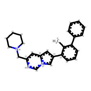 Cc1c(-c2ccccc2)cccc1-c1cc2cc(CN3CCCCC3)ncn2c1